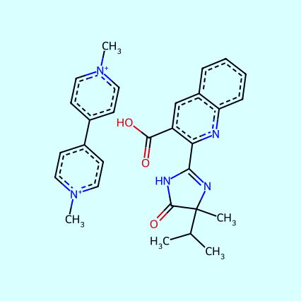 CC(C)C1(C)N=C(c2nc3ccccc3cc2C(=O)O)NC1=O.C[n+]1ccc(-c2cc[n+](C)cc2)cc1